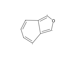 [c]1cccc2[c]o[c]c12